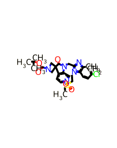 C=C(Cl)/C=C\c1c(C)nc(CN2C(=O)C3(CN(C(=O)OC(C)(C)C)C3)c3ccncc32)n1CCS(=O)(=O)CC